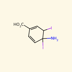 NC1(I)C=CC(C(=O)O)=CC1I